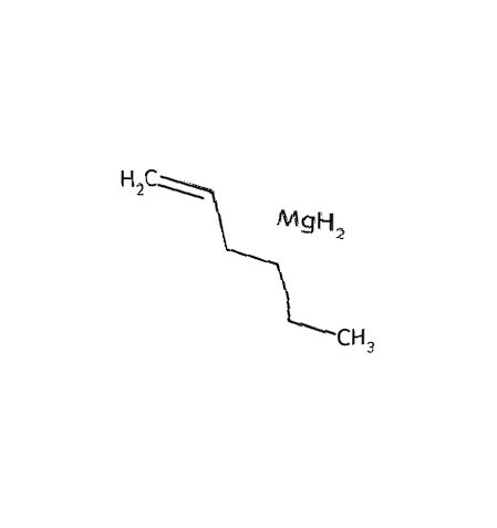 C=CCCCC.[MgH2]